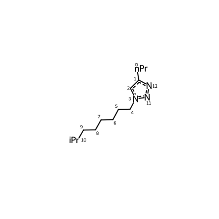 CCCc1cn(CCCCCCC(C)C)nn1